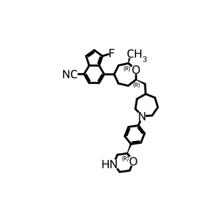 C[C@@H]1CC(C2=CC=C(C#N)C3C=CC(F)=C23)CC[C@H](CC2CCCN(c3ccc([C@@H]4CNCCO4)cc3)CC2)O1